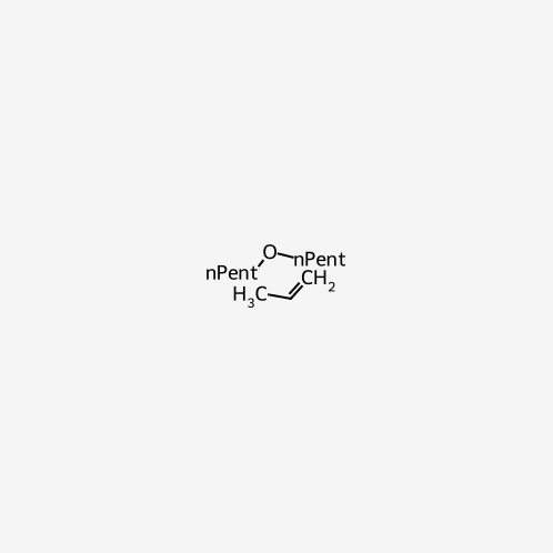 C=CC.CCCCCOCCCCC